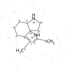 CC1=CC(C)=C2CCCC3NCCC23N1